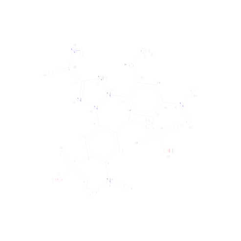 COc1cc([N+](=O)[O-])c(S(=O)(=O)O)cc1N1N=C(C(N)=O)NN1c1cc(S(=O)(=O)O)c([N+](=O)[O-])cc1OC